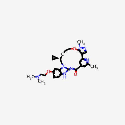 Cc1cc2cc(n1)-c1cnn(C)c1OCCC[C@@H](C1CC1)CN1/C(=N/C2=O)Nc2ccc(OCCN(C)C)cc21